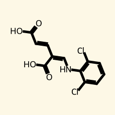 O=C(O)/C=C/C(=CNc1c(Cl)cccc1Cl)C(=O)O